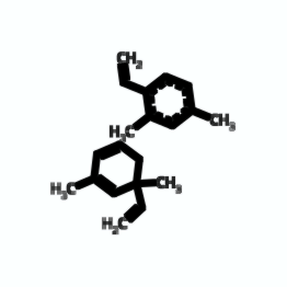 C=CC1(C)C=C(C)C=CC1.C=Cc1ccc(C)cc1C